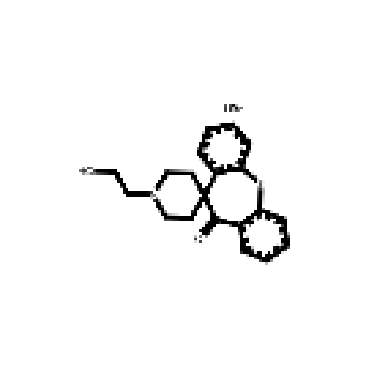 Br.O=C1c2ccccc2Sc2ccccc2C12CCN(CCO)CC2